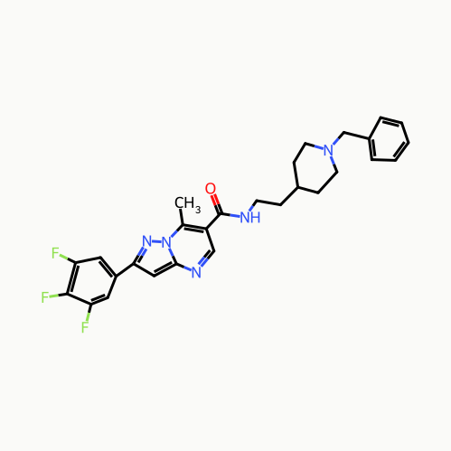 Cc1c(C(=O)NCCC2CCN(Cc3ccccc3)CC2)cnc2cc(-c3cc(F)c(F)c(F)c3)nn12